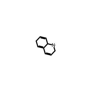 C1=CC2[N]CC=CC2=CC1